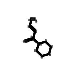 CC=CC(=O)N1[CH]CCCC1